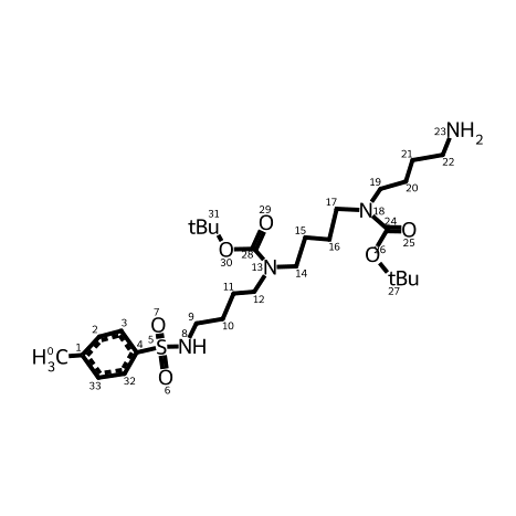 Cc1ccc(S(=O)(=O)NCCCCN(CCCCN(CCCCN)C(=O)OC(C)(C)C)C(=O)OC(C)(C)C)cc1